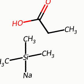 CCC(=O)O.C[Si](C)(C)[Na]